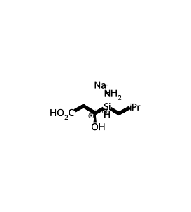 CC(C)C[Si@H](N)[C@@H](O)CC(=O)O.[Na]